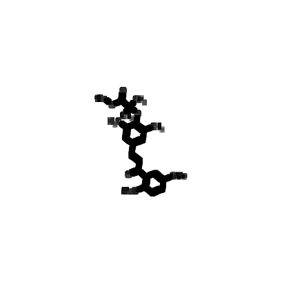 COc1ccc(OC)c(C(=O)C=Cc2cc(C)c(OC(C)(C)C(=O)OC(C)(C)C)c(C)c2)c1